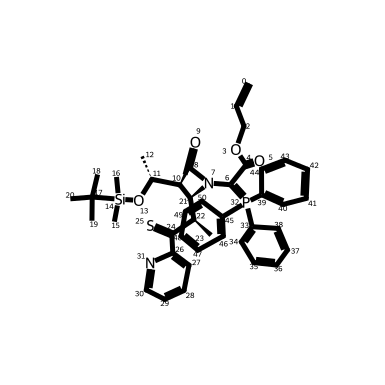 C=CCOC(=O)C(N1C(=O)[C@H]([C@@H](C)O[Si](C)(C)C(C)(C)C)[C@@H]1[C@@H](C)C(=S)c1ccccn1)=P(c1ccccc1)(c1ccccc1)c1ccccc1